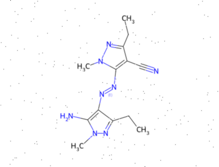 CCc1nn(C)c(/N=N/c2c(CC)nn(C)c2N)c1C#N